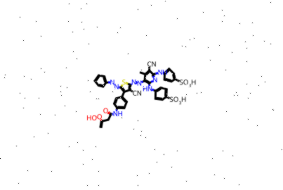 C=C(CC(=O)Nc1ccc(-c2c(N=Nc3ccccc3)sc(N=Nc3c(Nc4ccc(S(=O)(=O)O)cc4)nc(Nc4ccc(S(=O)(=O)O)cc4)c(C#N)c3C)c2C#N)cc1)OO